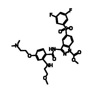 COCCNc1cc(OCCN(C)C)ccc1C(=O)Nc1nn(C(=O)OC)c2ccc(S(=O)(=O)c3cc(F)cc(F)c3)cc12